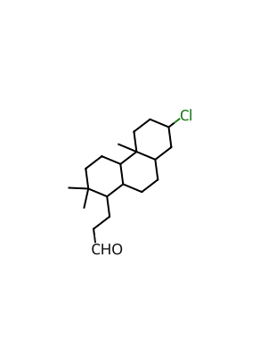 CC1(C)CCC2C(CCC3CC(Cl)CCC32C)C1CCC=O